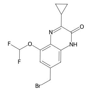 O=c1[nH]c2cc(CBr)cc(OC(F)F)c2nc1C1CC1